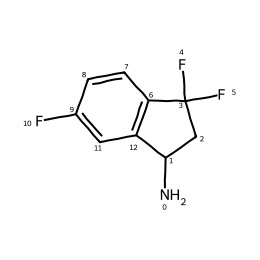 NC1CC(F)(F)c2ccc(F)cc21